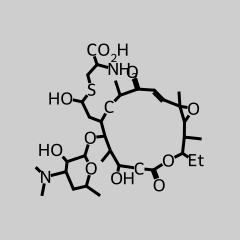 CCC1OC(=O)CC(O)C(C)C(OC2OC(C)CC(N(C)C)C2O)C(CC(O)SCC(N)C(=O)O)CC(C)C(=O)/C=C/C2(C)OC2C1C